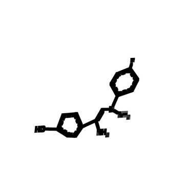 N/C(=C\N(N)c1ccc(F)cc1)c1ccc(O)cc1